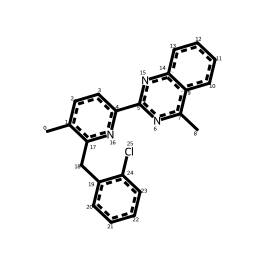 Cc1ccc(-c2nc(C)c3ccccc3n2)nc1Cc1ccccc1Cl